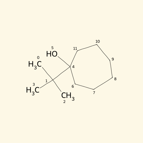 CC(C)(C)C1(O)CCCCCC1